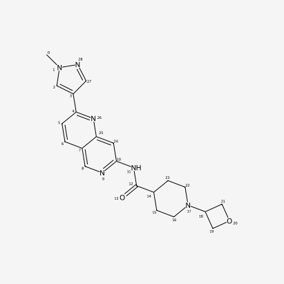 Cn1cc(-c2ccc3cnc(NC(=O)C4CCN(C5COC5)CC4)cc3n2)cn1